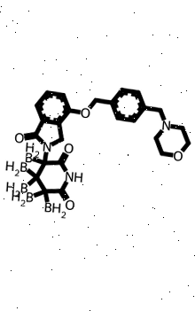 BC1(B)C(=O)NC(=O)C(B)(N2Cc3c(OCc4ccc(CN5CCOCC5)cc4)cccc3C2=O)C1(B)B